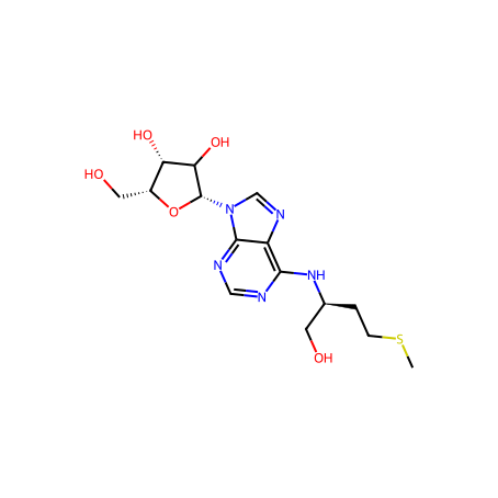 CSCC[C@@H](CO)Nc1ncnc2c1ncn2[C@@H]1O[C@H](CO)[C@H](O)C1O